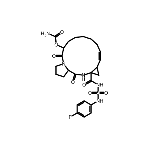 NC(=O)OC1CCCCC/C=C\C2CC2(C(=O)NS(=O)(=O)Nc2ccc(F)cc2)NC(=O)C2CCCN2C1=O